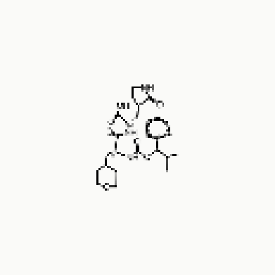 CC(C)C(OC(=O)N[C@@H](CC1CCCCC1)C(=O)N[C@@H](CC1CCNC1=O)C(=O)O)c1ccccc1